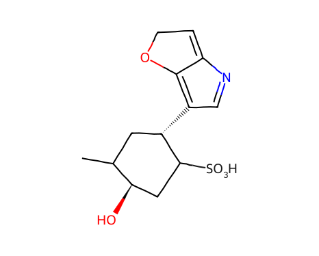 CC1C[C@H](C2=C3OCC=C3N=C2)C(S(=O)(=O)O)C[C@H]1O